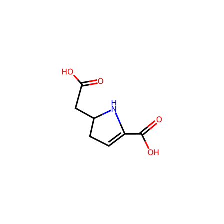 O=C(O)CC1CC=C(C(=O)O)N1